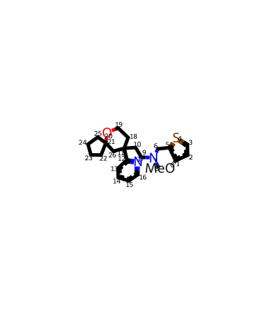 COc1ccsc1CN(C)CCC1(c2ccccn2)CCOC2(CCCC2)C1